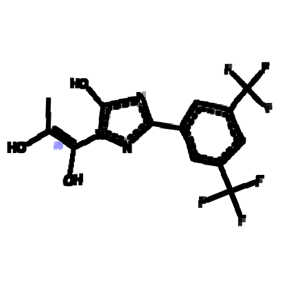 C/C(O)=C(/O)n1nc(-c2cc(C(F)(F)F)cc(C(F)(F)F)c2)nc1O